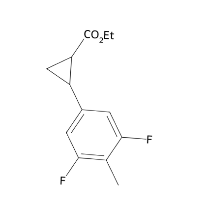 CCOC(=O)C1CC1c1cc(F)c(C)c(F)c1